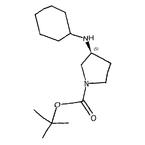 CC(C)(C)OC(=O)N1CC[C@H](NC2CCCCC2)C1